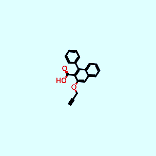 C#CCOc1cc2ccccc2c(-c2ccccc2)c1C(=O)O